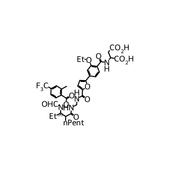 CCCCCC(C(=O)NCNC(=O)c1ccc(-c2ccc(C(=O)NC(CC(=O)O)C(=O)O)c(OCC)c2)o1)[C@@H](CC)N(C=O)OC(=O)c1ccc(C(F)(F)F)cc1C